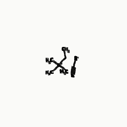 CC[N+](C)(C)C.N#C[S-]